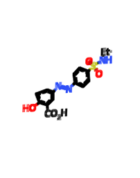 [CH2][CH]NS(=O)(=O)c1ccc(N=Nc2ccc(O)c(C(=O)O)c2)cc1